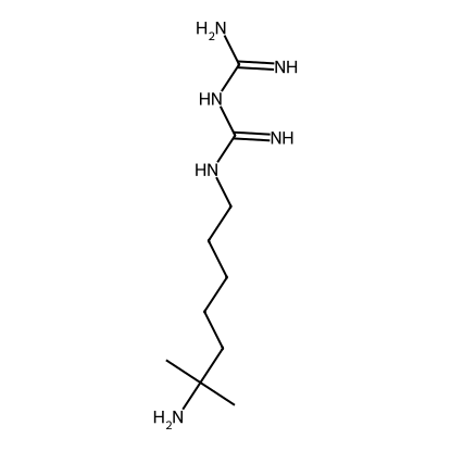 CC(C)(N)CCCCCNC(=N)NC(=N)N